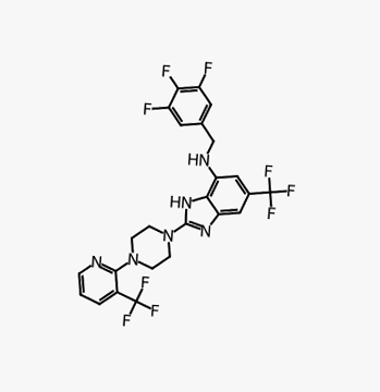 Fc1cc(CNc2cc(C(F)(F)F)cc3nc(N4CCN(c5ncccc5C(F)(F)F)CC4)[nH]c23)cc(F)c1F